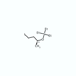 CC[Si](CC)(CC)O[C@@H](C)CCI